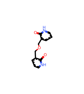 O=c1[nH]cccc1COCc1ccc[nH]c1=O